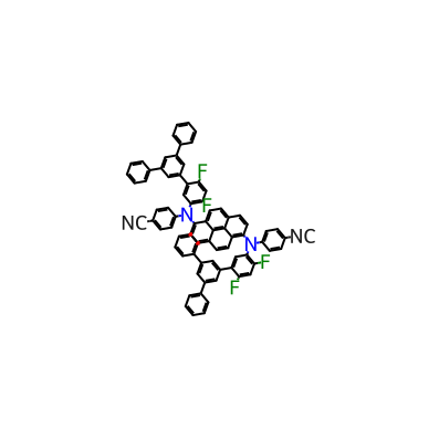 [C-]#[N+]c1ccc(N(c2cc(-c3cc(-c4ccccc4)cc(-c4ccccc4)c3)c(F)cc2F)c2ccc3ccc4c(N(c5ccc(C#N)cc5)c5cc(-c6cc(-c7ccccc7)cc(-c7ccccc7)c6)c(F)cc5F)ccc5ccc2c3c54)cc1